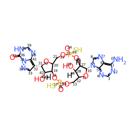 Nc1ncnc2c1ncn2[C@@H]1OC2COP(=O)(S)O[C@@H]3C(COP(=O)(S)O[C@@H]1[C@@H]2O)O[C@@H](c1cnn2c(=O)[nH]cnc12)[C@@H]3O